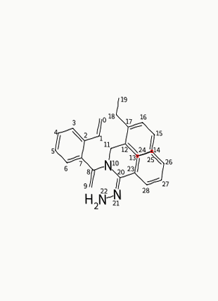 C=Cc1ccccc1C(=C)N(Cc1ccccc1CC)/C(=N\N)c1ccccc1